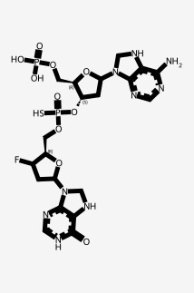 Nc1ncnc2c1NCN2C1C[C@H](OP(=O)(S)OC[C@H]2OC(N3CNc4c3nc[nH]c4=O)CC2F)[C@@H](COP(=O)(O)O)O1